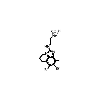 O=C(O)NCCNc1nc2c(I)c(Br)c(Br)c3c2n1CCC3